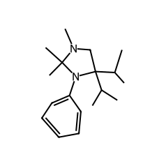 CC(C)C1(C(C)C)CN(C)C(C)(C)N1c1ccccc1